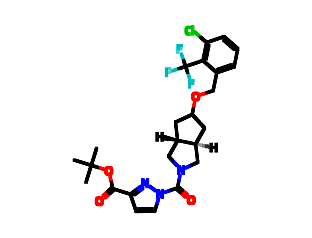 CC(C)(C)OC(=O)c1ccn(C(=O)N2C[C@@H]3CC(OCc4cccc(Cl)c4C(F)(F)F)C[C@H]3C2)n1